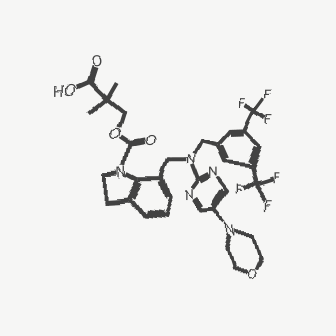 CC(C)(COC(=O)N1CCc2cccc(CN(Cc3cc(C(F)(F)F)cc(C(F)(F)F)c3)c3ncc(N4CCOCC4)cn3)c21)C(=O)O